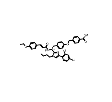 CCCCn1cc(-c2ccc(Cl)cc2Cl)nc1[C@H](Cc1ccc(OCc2ccc(C(=O)O)cc2)cc1)NC(=O)C=Cc1ccc(OCC)cc1